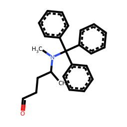 CC(CCC=O)N(C)C(c1ccccc1)(c1ccccc1)c1ccccc1